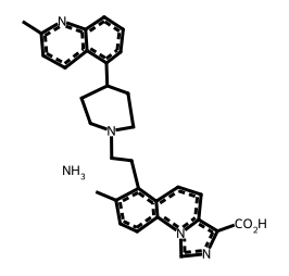 Cc1ccc2c(C3CCN(CCc4c(C)ccc5c4ccc4c(C(=O)O)ncn45)CC3)cccc2n1.N